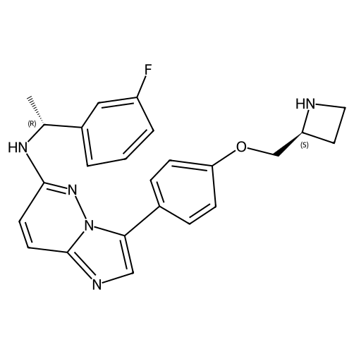 C[C@@H](Nc1ccc2ncc(-c3ccc(OC[C@@H]4CCN4)cc3)n2n1)c1cccc(F)c1